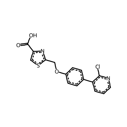 O=C(O)c1csc(COc2ccc(-c3cccnc3Cl)cc2)n1